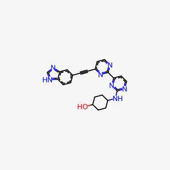 OC1CCC(Nc2nccc(-c3nccc(C#Cc4ccc5[nH]cnc5c4)n3)n2)CC1